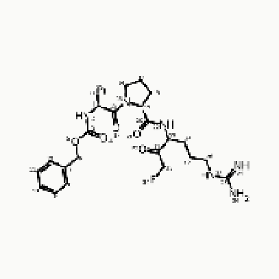 CC(C)[C@H](NC(=O)OCc1ccccc1)C(=O)N1CCC[C@H]1C(=O)N[C@@H](CCCNC(=N)N)C(=O)CF